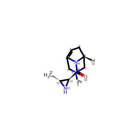 CC(C)N1CC2=CC[C@H](C1)N2C(=O)[C@H]1N[C@@H]1C